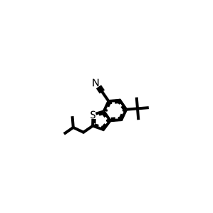 CC(C)Cc1cc2cc(C(C)(C)C)cc(C#N)c2s1